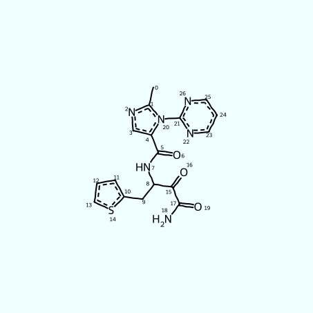 Cc1ncc(C(=O)NC(Cc2cccs2)C(=O)C(N)=O)n1-c1ncccn1